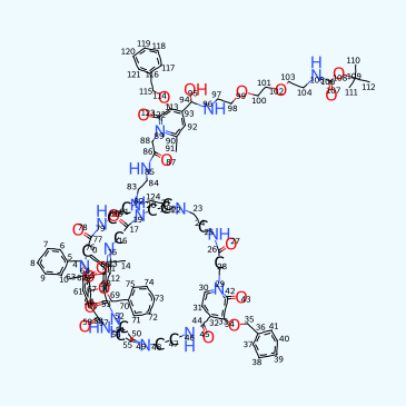 C=C1C(OCc2ccccc2)=C2C=C(C)N1CC(=O)NCCN1CCNC(=O)Cn3ccc(c(OCc4ccccc4)c3=O)C(=O)NCCN(CCNC2=O)CCNC(=O)c2cc(C)n(c(=O)c2OCc2ccccc2)CC(=O)NCCN(CCNC(=O)Cn2c(C)cc(C(O)NCCOCCOCCNC(=O)OC(C)(C)C)c(OCc3ccccc3)c2=O)CC1